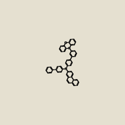 c1ccc(-c2ccc(N(c3ccc(-c4cccc(N5c6ccccc6Oc6ccccc65)c4)cc3)c3ccc4c(ccc5ccccc54)c3)cc2)cc1